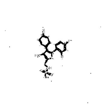 Cc1c(CNS(=O)(=O)C(C)(C)C)sc(-c2ccc(Cl)cc2Cl)c1-c1ccc(Cl)cc1